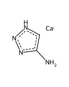 Nc1c[nH]nn1.[Ca]